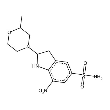 CC1CN(C2Cc3cc(S(N)(=O)=O)cc([N+](=O)[O-])c3N2)CCO1